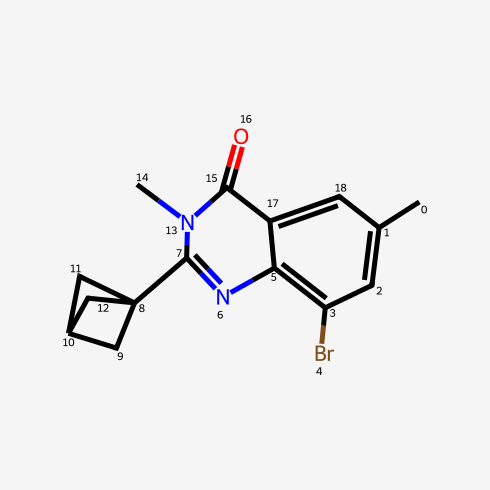 Cc1cc(Br)c2nc(C34CC(C3)C4)n(C)c(=O)c2c1